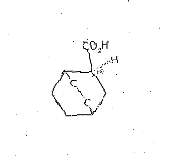 O=C(O)[C@H]1CC2CCC1CC2